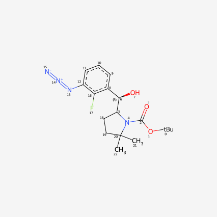 CC(C)(C)OC(=O)N1C([C@H](O)c2cccc(N=[N+]=[N-])c2F)CCC1(C)C